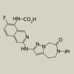 CC(C)N1CCc2cc(Nc3cc4ccc(F)c(NC(=O)O)c4cn3)nn2CC1=O